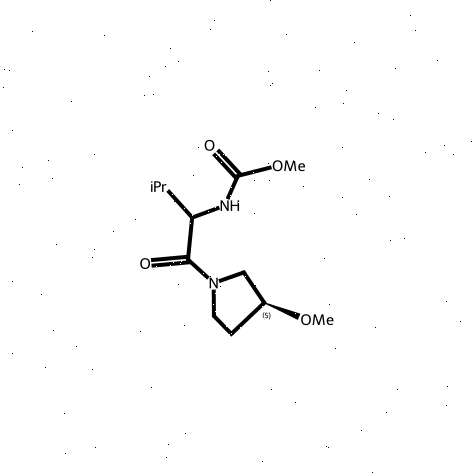 COC(=O)NC(C(=O)N1CC[C@H](OC)C1)C(C)C